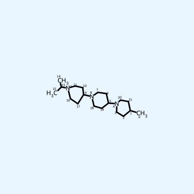 CC1CCN(C2CCN(C3CCN(C(C)C)CC3)CC2)CC1